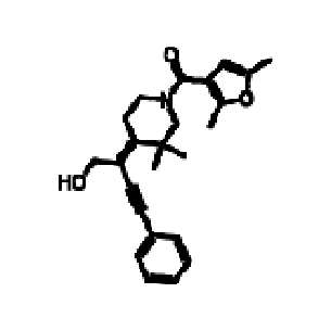 Cc1cc(C(=O)N2CC/C(=C(/C#Cc3ccccc3)CO)C(C)(C)C2)c(C)o1